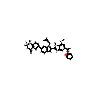 COc1cc(C(=O)N2CC3CCC2[C@@H]3N)cc2nc(-c3cc4ccc(-c5ccc6c(c5)C(=O)CS(=O)(=O)N6C)cc4n3CC3CC3)n(C)c12